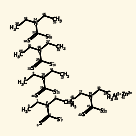 CCN(CC)C(=S)[S-].CCN(CC)C(=S)[S-].CCN(CC)C(=S)[S-].CCN(CC)C(=S)[S-].CCN(CC)C(=S)[S-].[Al+3].[Zn+2]